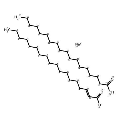 CCCCCCCCCCCCCCCC=CC(=O)[O-].CCCCCCCCCCCCCCCCCC(=O)O.[Na+]